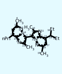 CCCc1cc(C)nn2c(-c3c(C)nc4c(C(CC)CC)cc(C)nn34)c(C)nc12